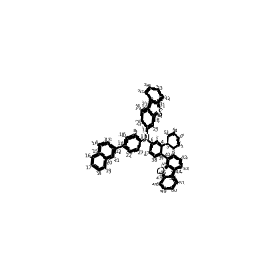 C1=CCC(c2cc(N(c3ccc(-c4ccc5ccccc5c4)cc3)c3ccc4c(c3)sc3ccccc34)ccc2-c2cccc3c2oc2ccccc23)C=C1